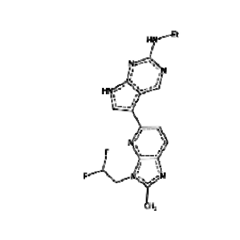 CCNc1ncc2c(-c3ccc4nc(C)n(CC(F)F)c4n3)c[nH]c2n1